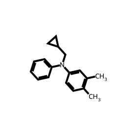 Cc1ccc(N(CC2CC2)c2ccccc2)cc1C